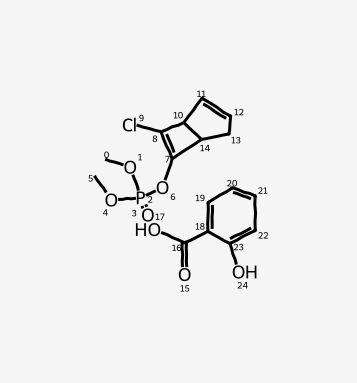 COP(=O)(OC)OC1=C(Cl)C2C=CCC12.O=C(O)c1ccccc1O